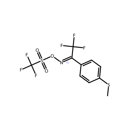 CSc1ccc(/C(=N/OS(=O)(=O)C(F)(F)F)C(F)(F)F)cc1